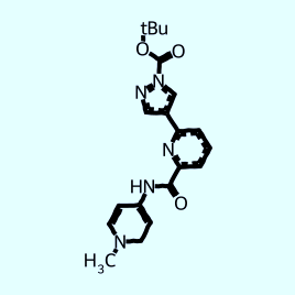 CN1C=CC(NC(=O)c2cccc(-c3cnn(C(=O)OC(C)(C)C)c3)n2)=CC1